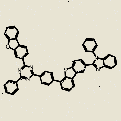 c1ccc(-c2nc(-c3ccc(-c4cccc5c4sc4ccc(-c6nc7ccccc7n6-c6ccccc6)cc45)cc3)nc(-c3ccc4c(c3)oc3ccccc34)n2)cc1